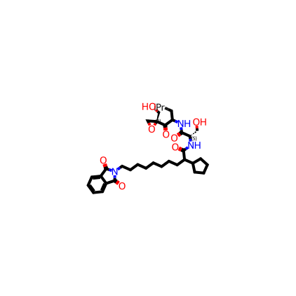 CC(C)CC(NC(=O)[C@H](CO)NC(=O)C(CCCCCCCCN1C(=O)c2ccccc2C1=O)C1CCCC1)C(=O)[C@@]1(CO)CO1